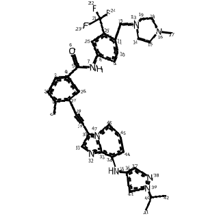 Cc1ccc(C(=O)Nc2ccc(CN3CCN(C)CC3)c(C(F)(F)F)c2)cc1C#Cc1cnc2c(Nc3cnn(C(C)C)c3)cccn12